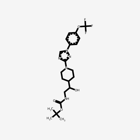 CC(C)(C)OC(=O)NCC(O)C1CCN(c2ncn(-c3ccc(OC(F)(F)F)cc3)n2)CC1